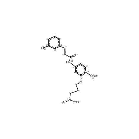 CCCN(CCC)CCCOc1cc(NC(=O)C=Cc2cccc(Cl)c2)ccc1OC